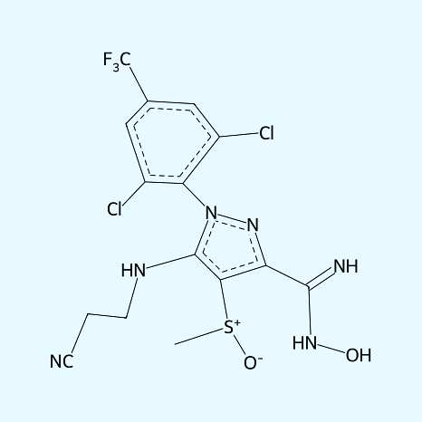 C[S+]([O-])c1c(C(=N)NO)nn(-c2c(Cl)cc(C(F)(F)F)cc2Cl)c1NCCC#N